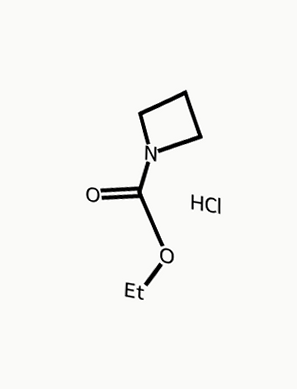 CCOC(=O)N1CCC1.Cl